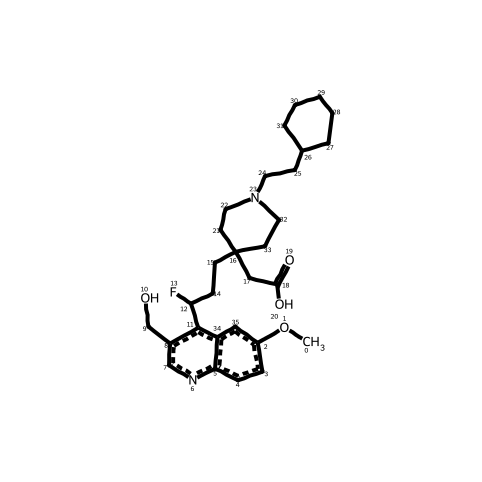 COc1ccc2ncc(CO)c(C(F)CCC3(CC(=O)O)CCN(CCC4CCCCC4)CC3)c2c1